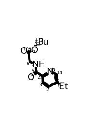 CCc1ccc(C(=O)NCC(=O)OC(C)(C)C)nc1